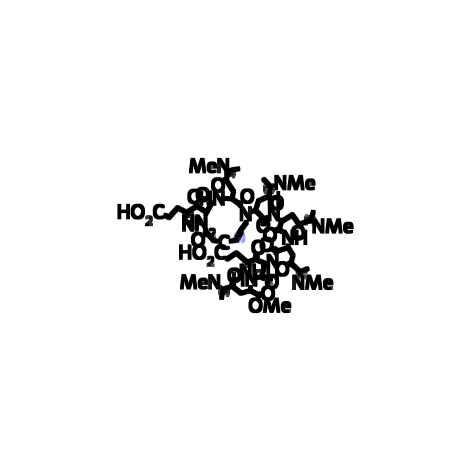 CN[C@@H](C)C(=O)CC(NC(=O)C(CC(=O)[C@H](C)NC)NC(=O)C(CC(=O)[C@H](C)NC)N1C/C=C/CCC(=O)NC(C(=O)[C@@H](N)CCC(=O)O)C(=O)NC(CC(=O)[C@H](C)NC)C1=O)C(=O)NC(C(=O)NC(CC(=O)[C@H](C)NC)C(=O)OC)C(=O)[C@@H](N)CCC(=O)O